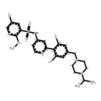 COc1ncc(Cl)cc1S(=O)(=O)Nc1ccnc(-c2c(F)cc(CN3CCN(C(C)C)CC3)cc2F)c1